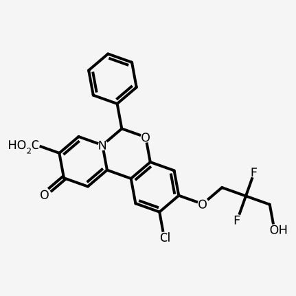 O=C(O)c1cn2c(cc1=O)-c1cc(Cl)c(OCC(F)(F)CO)cc1OC2c1ccccc1